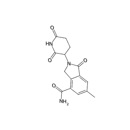 Cc1cc(C(N)=O)c2c(c1)C(=O)N(C1CCC(=O)NC1=O)C2